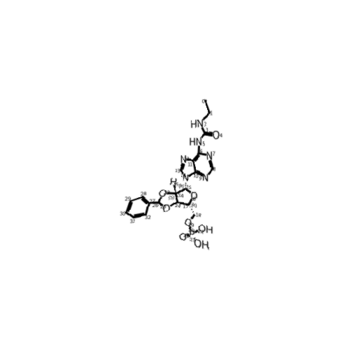 CCNC(=O)Nc1ncnc2c1ncn2[C@@H]1O[C@H](COP(=O)(O)O)C2OC(c3ccccc3)O[C@@H]21